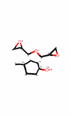 C(OCC1CO1)C1CO1.CC1CCC(O)CC1